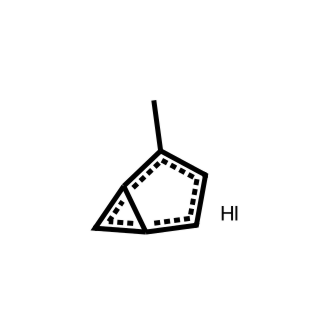 Cc1ccc2cc1-2.I